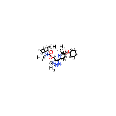 CCCC1(N(C)C(=O)OCc2c(-c3ccc(OC4CCCCC4)c(C)n3)nnn2C)CCC1